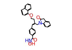 O=C(NO)c1ccc(/C=C(/CCOc2cccc3ccccc23)CN2C(=O)Cc3ccccc32)cc1